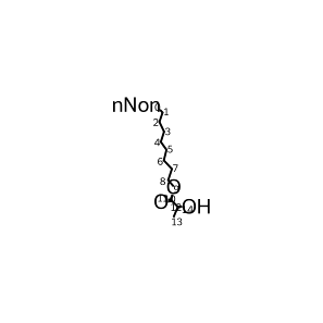 CCCCCCCCCCCCCCCCCOC(=O)C(C)O